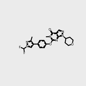 Cc1nn(C(F)F)cc1-c1ccc(Oc2nc3c(cnn3C3CCOCC3)c(=O)n2C)cc1